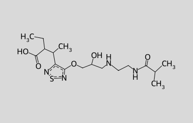 CCC(C(=O)O)C(C)c1nsnc1OCC(O)CNCCNC(=O)C(C)C